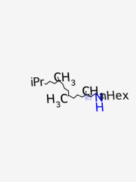 CCCCCCNC/C=C(\C)CCCC(C)CCCC(C)CCCC(C)C